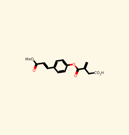 C=C(CC(=O)O)C(=O)Oc1ccc(/C=C/C(=O)OC)cc1